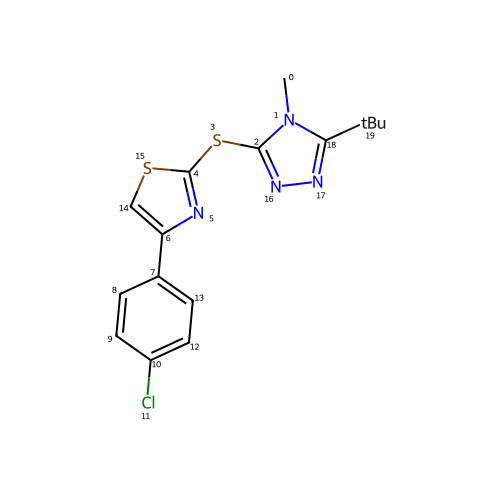 Cn1c(Sc2nc(-c3ccc(Cl)cc3)cs2)nnc1C(C)(C)C